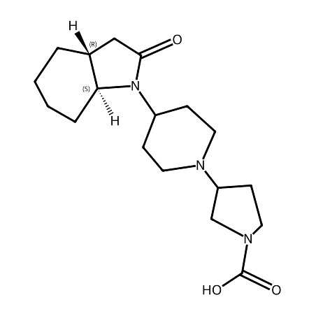 O=C(O)N1CCC(N2CCC(N3C(=O)C[C@H]4CCCC[C@@H]43)CC2)C1